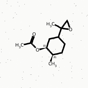 CC(=O)O[C@H]1CC(C2(C)CO2)CC[C@H]1C